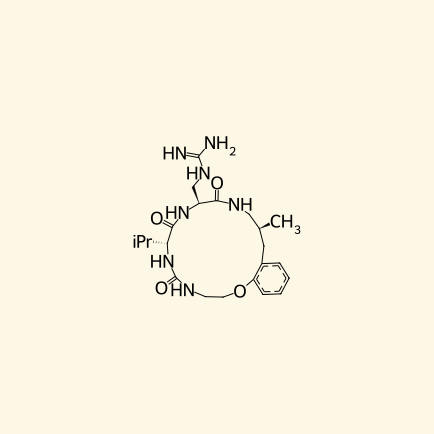 CC(C)[C@H]1NC(=O)NCCOc2ccccc2C[C@H](C)CNC(=O)[C@H](CNC(=N)N)NC1=O